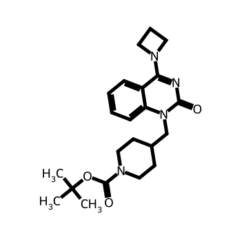 CC(C)(C)OC(=O)N1CCC(Cn2c(=O)nc(N3CCC3)c3ccccc32)CC1